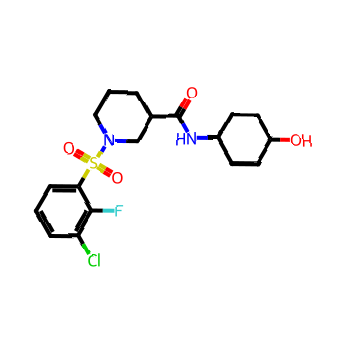 O=C(NC1CCC(O)CC1)C1CCCN(S(=O)(=O)c2cccc(Cl)c2F)C1